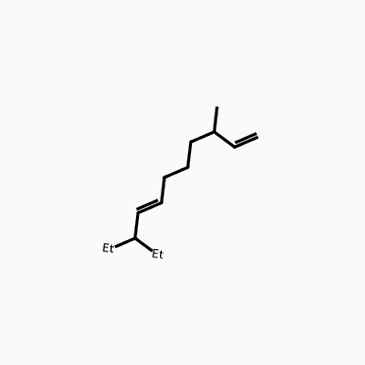 C=CC(C)CCCC=CC(CC)CC